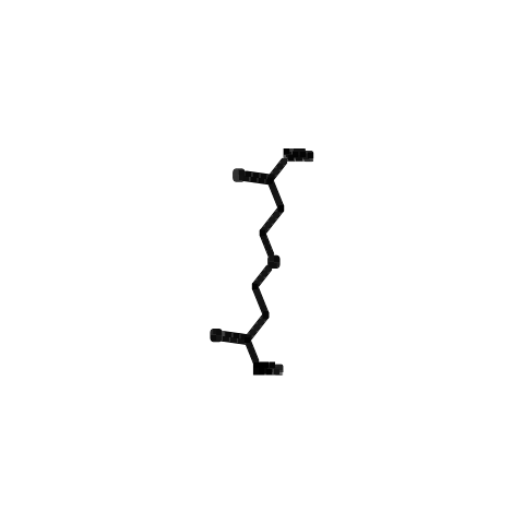 CNC(=O)CCOCCC(=O)NC